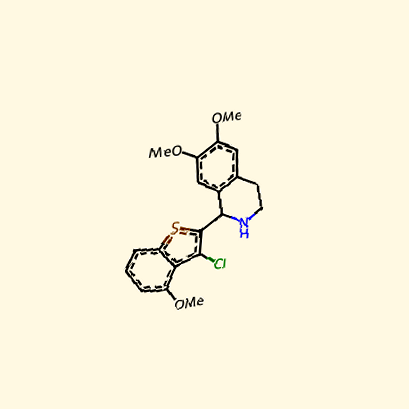 COc1cc2c(cc1OC)C(c1sc3cccc(OC)c3c1Cl)NCC2